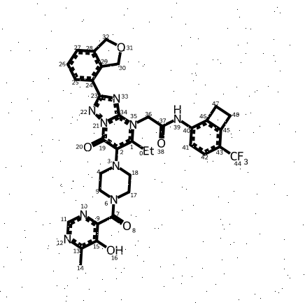 CCc1c(N2CCN(C(=O)c3ncnc(C)c3O)CC2)c(=O)n2nc(-c3cccc4c3COC4)nc2n1CC(=O)Nc1ccc(C(F)(F)F)c2c1CC2